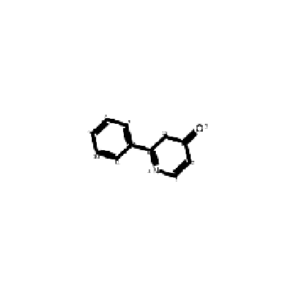 O=C1C=CN=C(c2ccccc2)C1